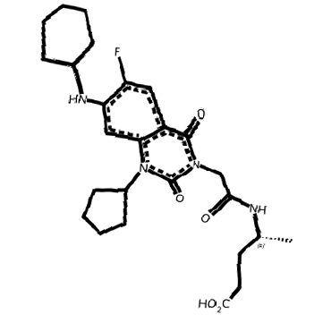 C[C@H](CCC(=O)O)NC(=O)Cn1c(=O)c2cc(F)c(NC3CCCCC3)cc2n(C2CCCC2)c1=O